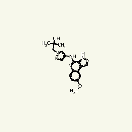 COc1ccc2nc(Nc3cnn(CC(C)(C)O)c3)c3[nH]ncc3c2c1